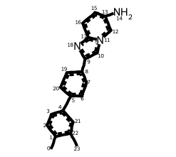 Cc1ccc(-c2ccc(-c3cn4cc(N)ccc4n3)cc2)cc1C